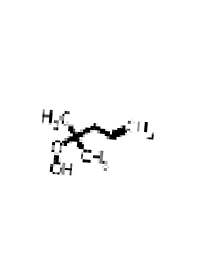 C=CCC(C)(C)OO